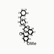 COc1ccc(C(=O)N(CC(=O)N2CCN(CC3CCCCC3)CC2)c2ccccc2)cc1